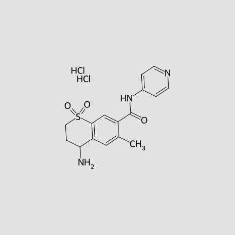 Cc1cc2c(cc1C(=O)Nc1ccncc1)S(=O)(=O)CCC2N.Cl.Cl